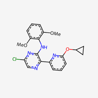 COc1cccc(OC)c1Nc1nc(Cl)cnc1-c1cccc(OC2CC2)n1